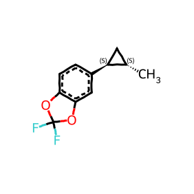 C[C@H]1C[C@@H]1c1ccc2c(c1)OC(F)(F)O2